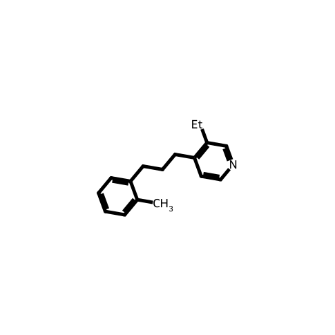 CCc1cnccc1CCCc1ccccc1C